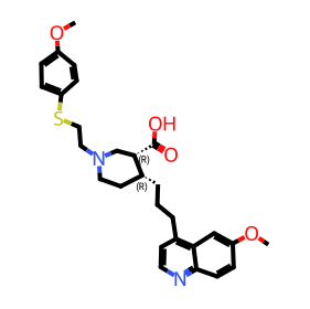 COc1ccc(SCCN2CC[C@@H](CCCc3ccnc4ccc(OC)cc34)[C@@H](C(=O)O)C2)cc1